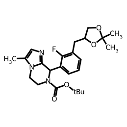 Cc1cnc2n1CCN(C(=O)OC(C)(C)C)C2c1cccc(CC2COC(C)(C)O2)c1F